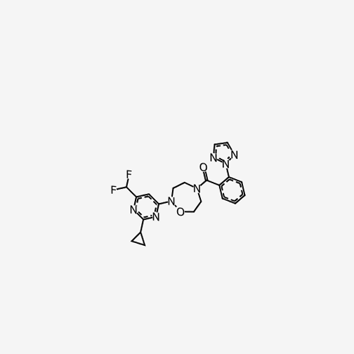 O=C(c1ccccc1-n1nccn1)N1CCON(c2cc(C(F)F)nc(C3CC3)n2)CC1